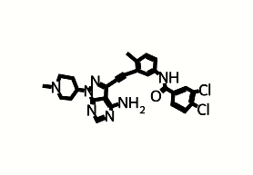 Cc1ccc(NC(=O)c2ccc(Cl)c(Cl)c2)cc1C#Cc1nn(C2CCN(C)CC2)c2ncnc(N)c12